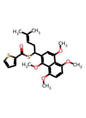 COc1ccc(OC)c2c(OC)c(C(CC=C(C)C)SC(=O)c3cccs3)cc(OC)c12